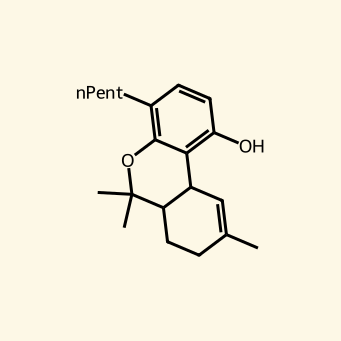 CCCCCc1ccc(O)c2c1OC(C)(C)C1CCC(C)=CC21